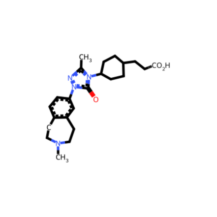 Cc1nn(-c2ccc3c(c2)CCN(C)CC3)c(=O)n1C1CCC(CCC(=O)O)CC1